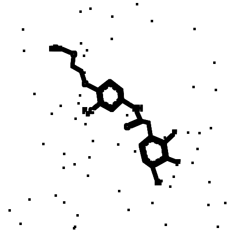 CCCCOCCOc1ccc(NC(=O)Cc2ccc(Br)c(F)c2F)cc1C(F)(F)F